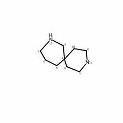 C1CNCC2(C1)CC[N]CC2